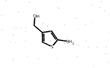 Nc1cc(CO)cs1